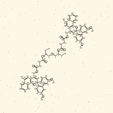 CCC(COCC(CC)OC(=O)CCC(=O)OCC1=CC(c2ccc(OC)cc2)(c2ccc(OC)cc2)Oc2c1cc(C)c1ccccc21)OC(=O)CCC(=O)OCC1=CC(c2ccc(OC)cc2)(c2ccc(OC)cc2)Oc2c1cc(C)c1ccccc21